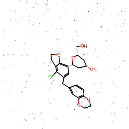 OC[C@@H]1C[C@H](O)C[C@H](c2cc(Cc3ccc4c(c3)OCCO4)c(Cl)c3c2OCC3)O1